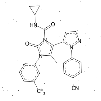 Cc1c(-c2ccnn2-c2ccc(C#N)cc2)n(C(=O)NC2CC2)c(=O)n1-c1cccc(C(F)(F)F)c1